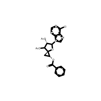 CC(=O)OC1[C@H](OC(C)=O)C(n2cnc3c(Cl)ncnc32)O[C@@]12C[C@H]2OC(=O)c1ccccc1